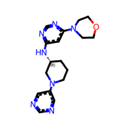 c1ncc(N2CCC[C@@H](Nc3cc(N4CCOCC4)ncn3)C2)cn1